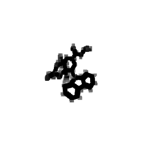 CC(C)(C)OC(=O)N1C[C@@H](n2c3ccccc3c3ccccc32)[C@@H]2OS(=O)O[C@@H]2C1